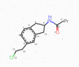 CC(C)C(=O)NC1Cc2ccc(CCCl)cc2C1